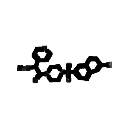 COC(C(=O)N1CCN(S(=O)(=O)c2ccc3cc(Cl)ccc3c2)CC1)c1ccncc1